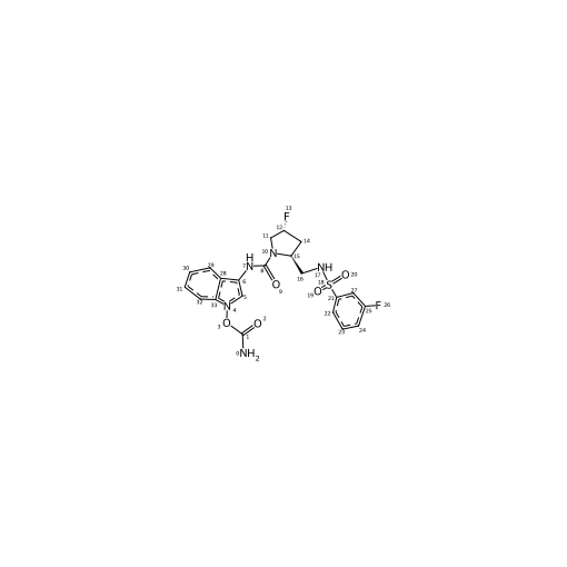 NC(=O)On1cc(NC(=O)N2C[C@H](F)C[C@H]2CNS(=O)(=O)c2cccc(F)c2)c2ccccc21